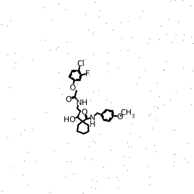 COc1ccc(CNC(=O)C2(C(O)CCNC(=O)COc3ccc(Cl)c(F)c3)CCCCC2)cc1